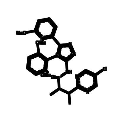 COc1cccc(-c2nnc(N[S+]([O-])C(C)C(C)c3ncc(Cl)cn3)n2-c2c(OC)cccc2OC)n1